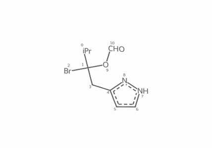 CC(C)C(Br)(Cc1cc[nH]n1)OC=O